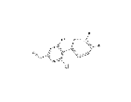 O=Cc1cc(Cl)c(-c2ccc(F)c(F)c2)c(Cl)c1